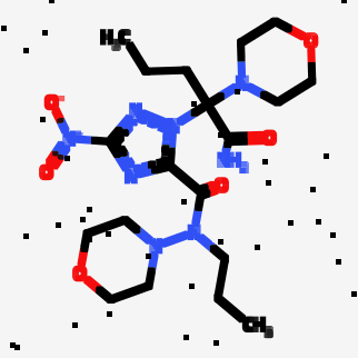 CCCN(C(=O)c1nc([N+](=O)[O-])nn1C(CCC)(C(N)=O)N1CCOCC1)N1CCOCC1